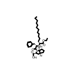 CCCCCCCCCCCC[C@H](N[C@@H](Cc1ccccc1)C(=O)N1[C@H](C(=O)O)C[C@@H]2CCC[C@@H]21)C(=O)OCC